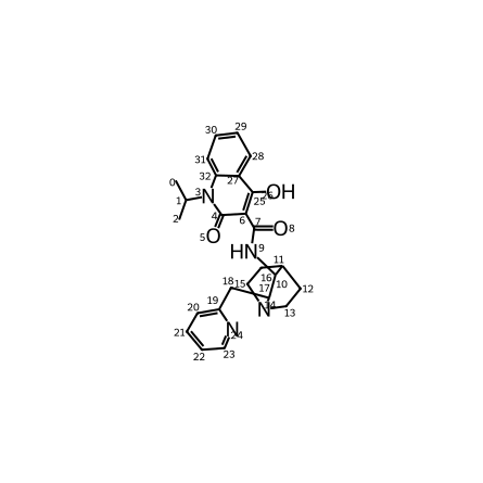 CC(C)n1c(=O)c(C(=O)NC2C3CCN(CC3)C2Cc2ccccn2)c(O)c2ccccc21